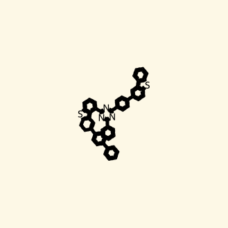 C1=C(c2ccc(-c3ccccc3)cc2)CCc2sc3cccc(-c4nc(-c5ccccc5)nc(-c5ccc(-c6ccc7sc8ccccc8c7c6)cc5)n4)c3c21